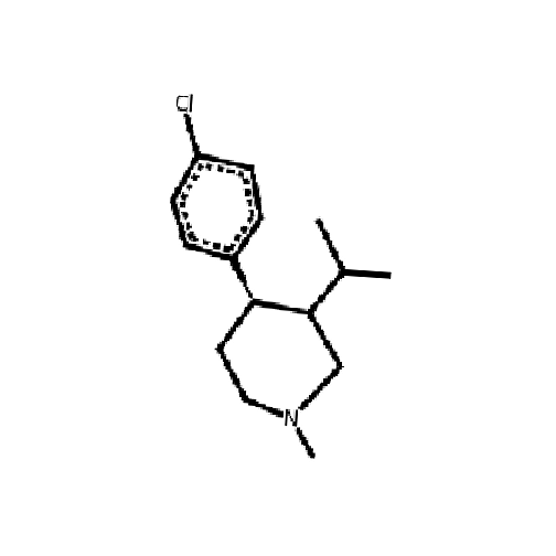 CC(C)C1CN(C)CC[C@H]1c1ccc(Cl)cc1